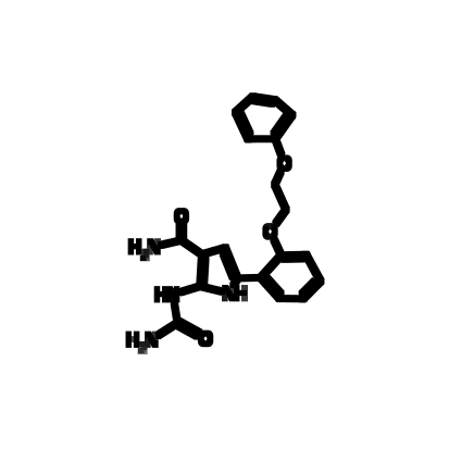 NC(=O)Nc1[nH]c(-c2ccccc2OCCOc2ccccc2)cc1C(N)=O